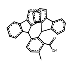 O=C(O)c1c(I)ccc(C2c3ccccc3-c3ccccc32)c1C1c2ccccc2-c2ccccc21